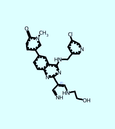 Cn1cc(-c2ccc3nc(/C(C=N)=C/NCCO)nc(NCc4cncc(Cl)c4)c3c2)ccc1=O